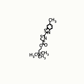 Cc1ccc2nc(C3=N[C@@H](C(=O)OCC[N+](C)(C)C)CS3)sc2c1